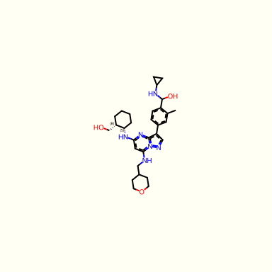 Cc1cc(-c2cnn3c(NCC4CCOCC4)cc(N[C@H]4CCCC[C@H]4CO)nc23)ccc1C(O)NC1CC1